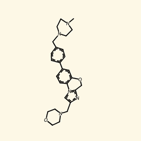 CN1CCN(Cc2ccc(-c3ccc4c(c3)OCc3nc(CN5CCOCC5)cn3-4)cc2)CC1